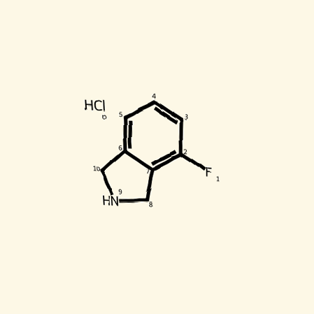 Cl.Fc1cccc2c1CNC2